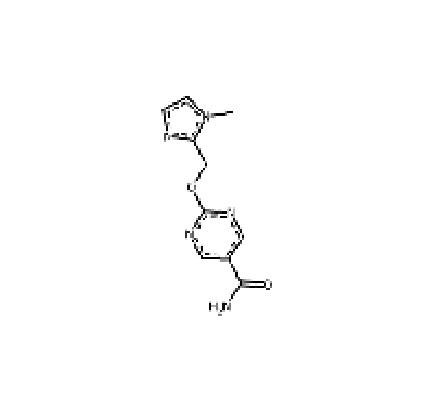 Cn1ccnc1COc1ncc(C(N)=O)cn1